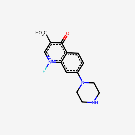 O=C(O)c1cn(F)c2cc(N3CCNCC3)ccc2c1=O